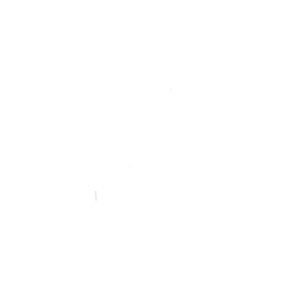 CCO/C=C\OCC